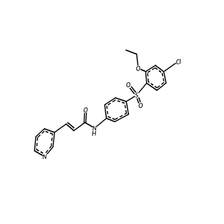 CCOc1cc(Cl)ccc1S(=O)(=O)c1ccc(NC(=O)C=Cc2cccnc2)cc1